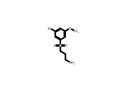 CCc1cc(OC(F)(F)F)cc(S(=O)(=O)CCCN)c1